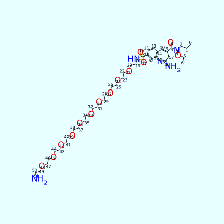 CCCN(OCC)C(=O)C1=Cc2ccc(S(=O)(=O)NCCOCCOCCOCCOCCOCCOCCOCCOCCOCCOCCN)cc2N=C(N)C1